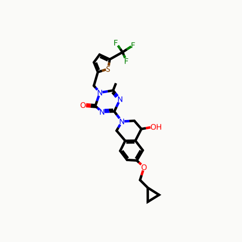 Cc1nc(N2Cc3ccc(OCC4CC4)cc3C(O)C2)nc(=O)n1Cc1ccc(C(F)(F)F)s1